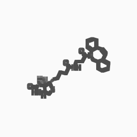 O=C(CCCC[C@@H]1SC[C@@H]2NC(=O)N[C@@H]21)NCCC(=O)N1Cc2ccccc2C#Cc2ccccc21